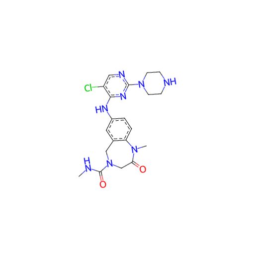 CNC(=O)N1CC(=O)N(C)c2ccc(Nc3nc(N4CCNCC4)ncc3Cl)cc2C1